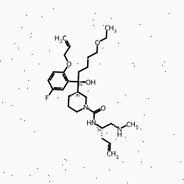 C=CCOc1ccc(F)cc1[C@](O)(CCCCOCC)[C@@H]1CCCN(C(=O)N[C@@H](CC=C)CNC)C1